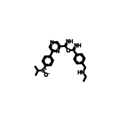 CCNCc1ccc(C(=N)OC(=N)c2cncc(-c3ccc([S+]([O-])C(C)C)cc3)n2)cc1